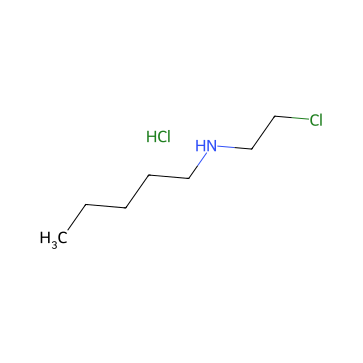 CCCCCNCCCl.Cl